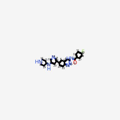 O=C(Nc1cc2cc(-c3cncc(NC4CCNCC4)c3)ccc2nn1)c1ccc(F)cc1